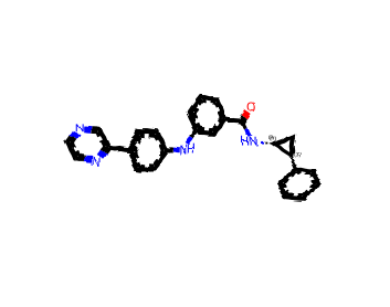 O=C(N[C@@H]1C[C@H]1c1ccccc1)c1cccc(Nc2ccc(-c3cnccn3)cc2)c1